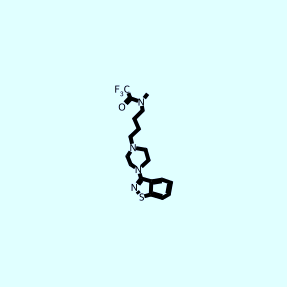 CN(CCCCN1CCN(c2nsc3ccccc23)CC1)C(=O)C(F)(F)F